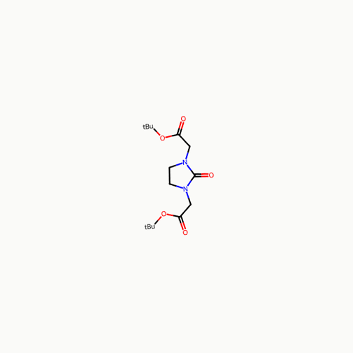 CC(C)(C)OC(=O)CN1CCN(CC(=O)OC(C)(C)C)C1=O